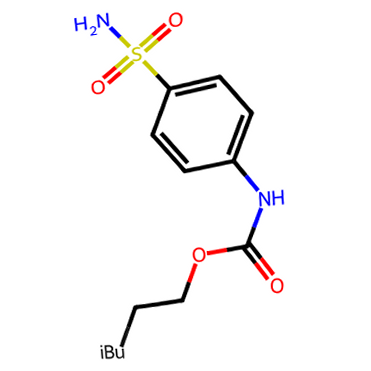 CCC(C)CCOC(=O)Nc1ccc(S(N)(=O)=O)cc1